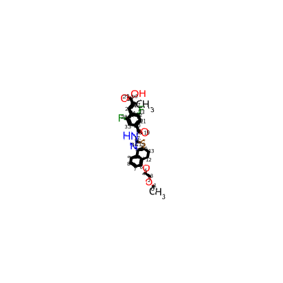 CCOCCOc1cccc2c1CCc1sc(NC(=O)c3cc(F)c(C=C(C)C(=O)O)c(F)c3)nc1-2